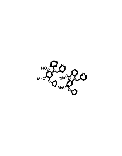 COc1ccc(N(Cc2cccnc2)c2ccccc2C(=O)O)cc1OC1CCCC1.COc1ccc(N(Cc2cccnc2)c2ccccc2C(=O)OC(C)(C)C)cc1OC1CCCC1